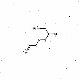 C=CCSSC(CC)CCCCCC